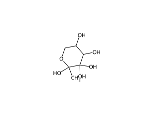 CC1(O)OCC(O)C(O)C1(O)O